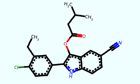 CCc1cc(-c2[nH]c3ccc(C#N)cc3c2OC(=O)CC(C)C)ccc1Cl